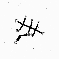 O=CNC(F)(C(F)(F)F)C(F)(F)Br